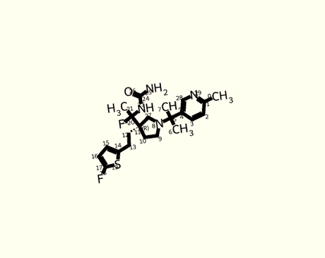 Cc1ccc(C(C)(C)N2CC[C@@](CCc3ccc(F)s3)(C(C)(F)NC(N)=O)C2)cn1